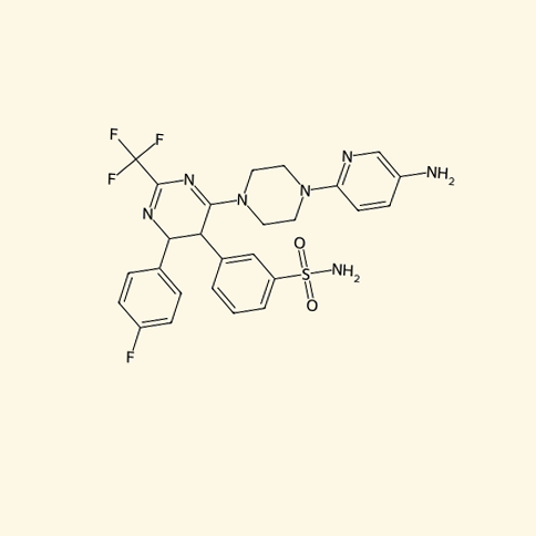 Nc1ccc(N2CCN(C3=NC(C(F)(F)F)=NC(c4ccc(F)cc4)C3c3cccc(S(N)(=O)=O)c3)CC2)nc1